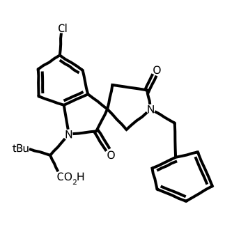 CC(C)(C)C(C(=O)O)N1C(=O)C2(CC(=O)N(Cc3ccccc3)C2)c2cc(Cl)ccc21